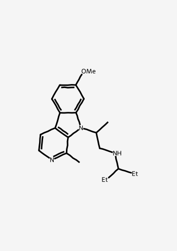 CCC(CC)NCC(C)n1c2cc(OC)ccc2c2ccnc(C)c21